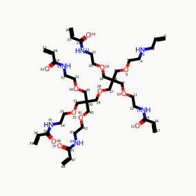 C=CCNCCOCC(COCCNC(=O)C=C)(COCCNC(=O)C=C)COCC(COCCNC(=O)C=C)(COCCNC(=O)C=C)COCCNC(=O)C=C